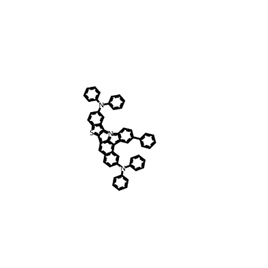 c1ccc(-c2ccc3c(c2)c2c4cc(N(c5ccccc5)c5ccccc5)ccc4cc4c5sc6ccc(N(c7ccccc7)c7ccccc7)cc6c5n3c42)cc1